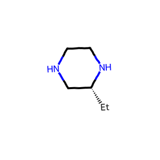 CC[C@@H]1CNCCN1